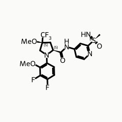 COc1c(N2C[C@](OC)(C(F)(F)F)C[C@H]2C(=O)Nc2ccnc([S@](C)(=N)=O)c2)ccc(F)c1F